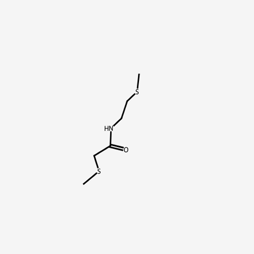 CSCCNC(=O)CSC